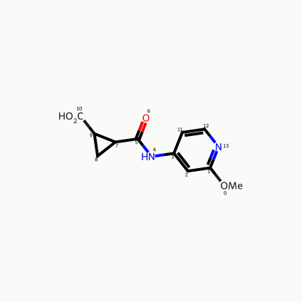 COc1cc(NC(=O)C2CC2C(=O)O)ccn1